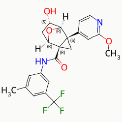 COc1cc([C@@]23C[C@]2(C(=O)Nc2cc(C)cc(C(F)(F)F)c2)[C@H]2C[C@H](O)[C@@H]3O2)ccn1